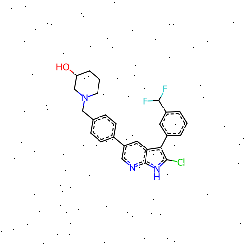 OC1CCCN(Cc2ccc(-c3cnc4[nH]c(Cl)c(-c5cccc(C(F)F)c5)c4c3)cc2)C1